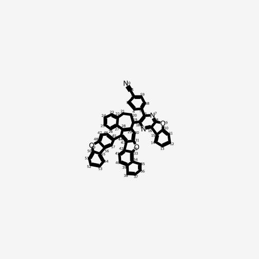 N#Cc1ccc(-c2nc3oc4ccccc4c3nc2C2CCc3ccccc3-c3c2cc2oc4c5ccccc5ccc4c2c3-c2ccc3oc4ccccc4c3c2)cc1